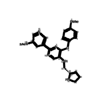 COc1ccc(Oc2nc(-c3cncc(SC)c3)ncc2NC[C@@H]2CCCN2)cc1